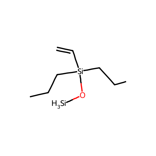 C=C[Si](CCC)(CCC)O[SiH3]